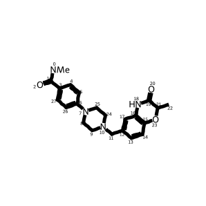 CNC(=O)c1ccc(N2CCN(Cc3ccc4c(c3)NC(=O)C(C)O4)CC2)cc1